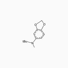 CN(c1ccc2c(c1)OCO2)C(C)(C)C